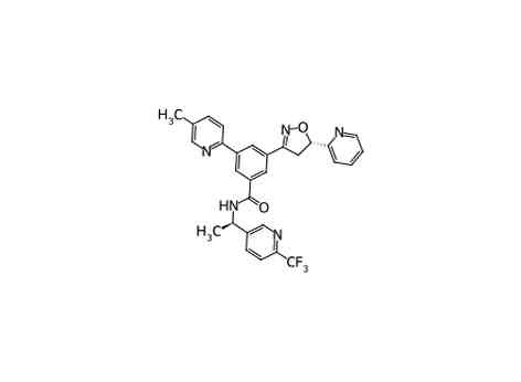 Cc1ccc(-c2cc(C(=O)N[C@H](C)c3ccc(C(F)(F)F)nc3)cc(C3=NO[C@H](c4ccccn4)C3)c2)nc1